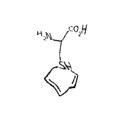 NC(C(=O)O)[SH]1C=CC=C1